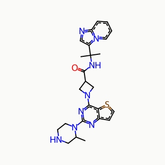 CC1CNCCN1c1nc(N2CC(C(=O)NC(C)(C)c3cnc4ccccn34)C2)c2sccc2n1